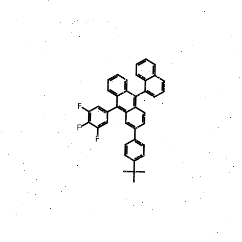 CC(C)(C)c1ccc(-c2ccc3c(-c4cccc5ccccc45)c4ccccc4c(-c4cc(F)c(F)c(F)c4)c3c2)cc1